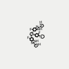 Fc1cc2nc([C@@H]3CCCN3)[nH]c2cc1[C@H]1CC[C@H](c2cc3[nH]c([C@@H]4CCCN4)nc3cc2F)N1c1ccc(N2CCCCC2)c(F)c1